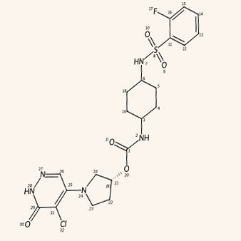 O=C(NC1CCC(NS(=O)(=O)c2ccccc2F)CC1)O[C@@H]1CCN(c2cn[nH]c(=O)c2Cl)C1